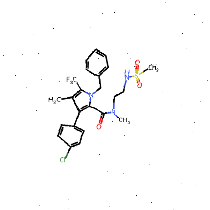 Cc1c(-c2ccc(Cl)cc2)c(C(=O)N(C)CCNS(C)(=O)=O)n(Cc2ccccc2)c1C(F)(F)F